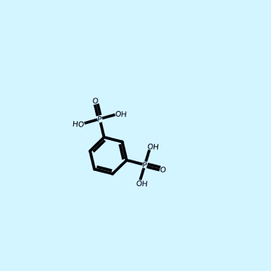 O=P(O)(O)c1cccc(P(=O)(O)O)c1